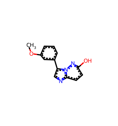 COc1cccc(-c2cnc3ccc(O)nn23)c1